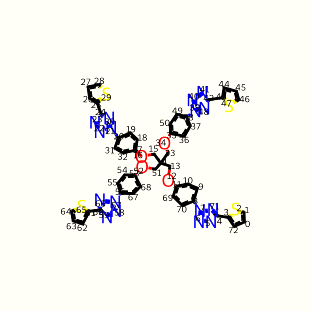 c1csc(-c2nnn(-c3ccc(OCC(COc4ccc(-n5nnc(-c6cccs6)n5)cc4)(COc4ccc(-n5nnc(-c6cccs6)n5)cc4)COc4ccc(-n5nnc(-c6cccs6)n5)cc4)cc3)n2)c1